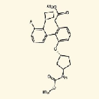 COC(=O)Cc1cccc(O[C@@H]2CC[C@@H](NC(=O)OC(C)(C)C)C2)c1-c1cccc(F)c1C1CCC1